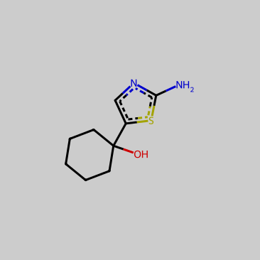 Nc1ncc(C2(O)CCCCC2)s1